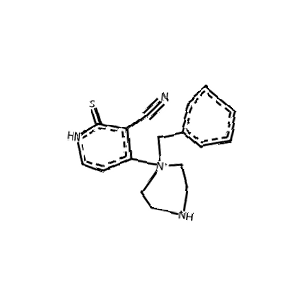 N#Cc1c([N+]2(Cc3ccccc3)CCNCC2)cc[nH]c1=S